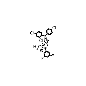 CS(=O)(=O)[C@H](CC1CN(C(c2ccc(Cl)cc2)c2ccc(Cl)cc2Cl)C1)c1cc(F)cc(F)c1